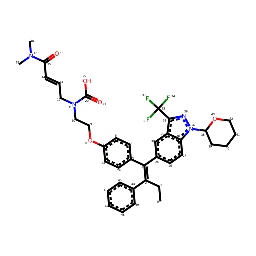 CC/C(=C(/c1ccc(OCCN(C/C=C/C(=O)N(C)C)C(=O)O)cc1)c1ccc2c(c1)c(C(F)(F)F)nn2C1CCCCO1)c1ccccc1